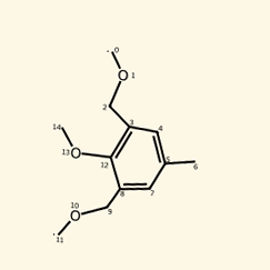 [CH2]OCc1cc(C)cc(CO[CH2])c1OC